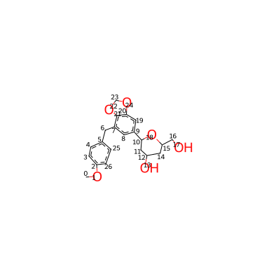 COc1ccc(Cc2cc(C3CC(O)CC(CO)O3)cc3c2OCO3)cc1